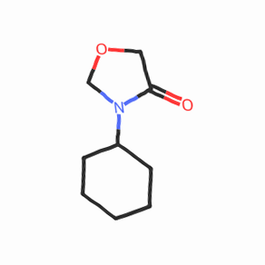 O=C1COCN1C1CCCCC1